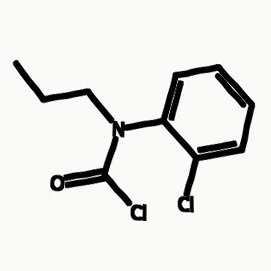 CCCN(C(=O)Cl)c1ccccc1Cl